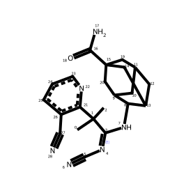 CC(C)(/C(=N\C#N)NC1C2CC3CC1CC(C(N)=O)(C3)C2)c1ncccc1C#N